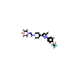 Cc1cc(C2CCN(CCN3CCOCC3)CC2)nn1-c1ccc(OC(F)(F)F)cc1